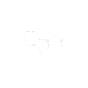 O=C(O)C1CCCc2c1[nH]c1cc(C(F)(F)F)ccc21